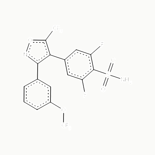 NS(=O)(=O)c1c(F)cc(-c2c(-c3cccc(OC(F)(F)F)c3)noc2C(F)(F)F)cc1F